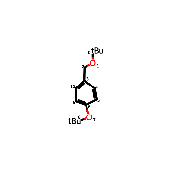 CC(C)(C)OCc1ccc(OC(C)(C)C)cc1